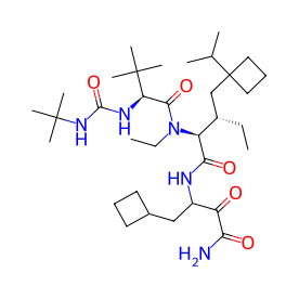 CC[C@@H](CC1(C(C)C)CCC1)[C@@H](C(=O)NC(CC1CCC1)C(=O)C(N)=O)N(CC)C(=O)[C@@H](NC(=O)NC(C)(C)C)C(C)(C)C